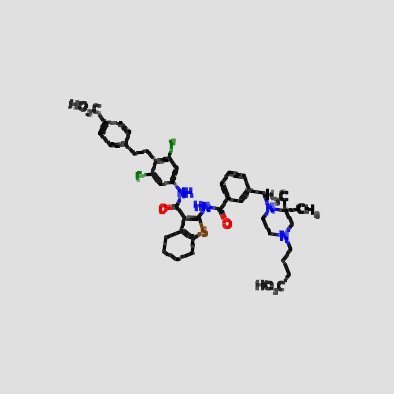 CC1(C)CN(CCCC(=O)O)CCN1Cc1cccc(C(=O)Nc2sc3c(c2C(=O)Nc2cc(F)c(CCc4ccc(C(=O)O)cc4)c(F)c2)CCCC3)c1